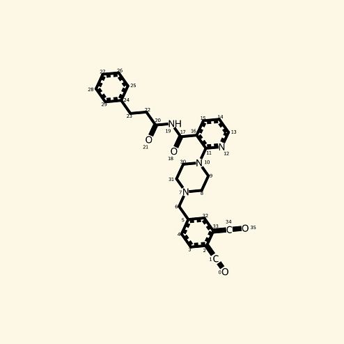 O=C=c1ccc(CN2CCN(c3ncccc3C(=O)NC(=O)CCc3ccccc3)CC2)cc1=C=O